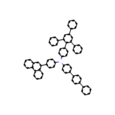 c1ccc(-c2ccc(-c3ccc(N(c4ccc(-c5c(-c6ccccc6)cc(-c6ccccc6)cc5-c5ccccc5)cc4)c4ccc(-c5cc6ccccc6c6ccccc56)cc4)cc3)cc2)cc1